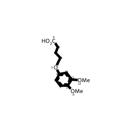 COc1ccc(OCCCC(=O)O)cc1OC